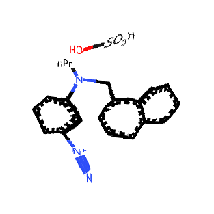 CCCN(Cc1cccc2ccccc12)c1cccc([N+]#N)c1.O=S(=O)(O)O